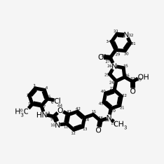 Cc1cccc(Cl)c1Nc1nc2ccc(CC(=O)N(C)c3ccc(C4CN(C(=O)c5ccncc5)CC4C(=O)O)cc3)cc2o1